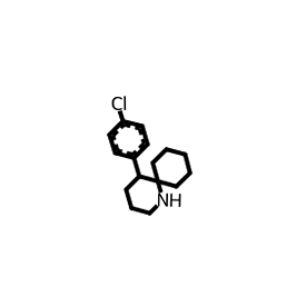 Clc1ccc(C2CCCNC23CCCCC3)cc1